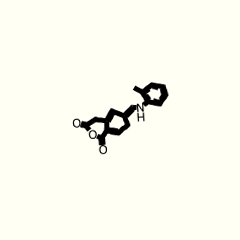 Cc1ccccc1NC=C1C=C2CC(=O)OC(=O)C2=CC1